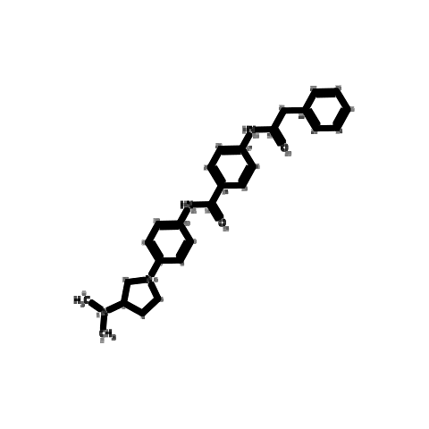 CN(C)C1CCN(c2ccc(NC(=O)c3ccc(NC(=O)Cc4ccccc4)cc3)cc2)C1